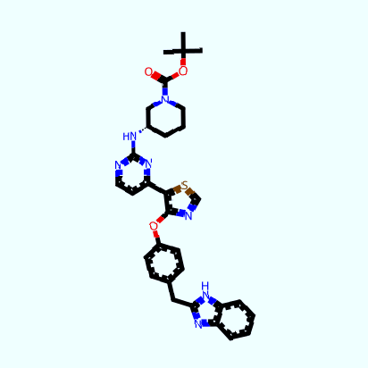 CC(C)(C)OC(=O)N1CCC[C@H](Nc2nccc(-c3scnc3Oc3ccc(Cc4nc5ccccc5[nH]4)cc3)n2)C1